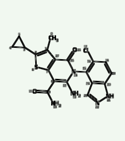 Cc1c(C2CC2)sc2c(C(N)=O)c(N)n(-c3c(Cl)ccc4[nH]ncc34)c(=O)c12